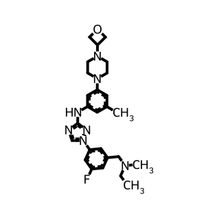 CCN(C)Cc1cc(F)cc(-n2cnc(Nc3cc(C)cc(N4CCN(C5COC5)CC4)c3)n2)c1